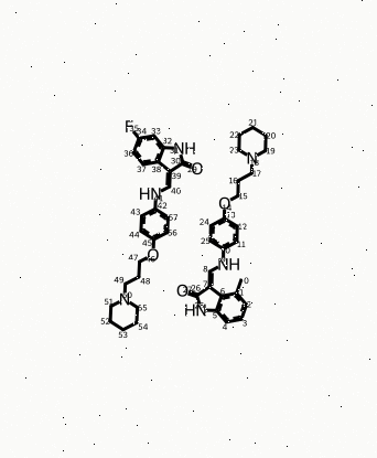 Cc1cccc2c1/C(=C\Nc1ccc(OCCCN3CCCCC3)cc1)C(=O)N2.O=C1Nc2cc(F)ccc2/C1=C\Nc1ccc(OCCCN2CCCCC2)cc1